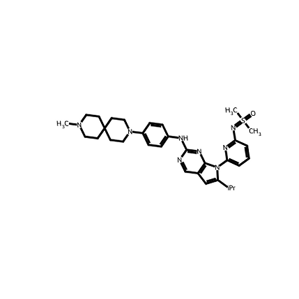 CC(C)c1cc2cnc(Nc3ccc(N4CCC5(CCN(C)CC5)CC4)cc3)nc2n1-c1cccc(N=S(C)(C)=O)n1